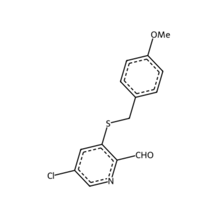 COc1ccc(CSc2cc(Cl)cnc2C=O)cc1